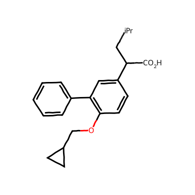 CC(C)CC(C(=O)O)c1ccc(OCC2CC2)c(-c2ccccc2)c1